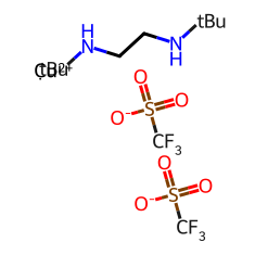 CC(C)(C)NCCNC(C)(C)C.O=S(=O)([O-])C(F)(F)F.O=S(=O)([O-])C(F)(F)F.[Cu+2]